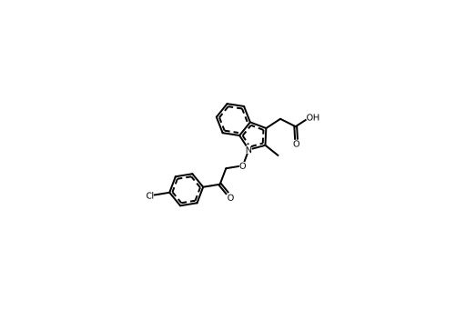 Cc1c(CC(=O)O)c2ccccc2n1OCC(=O)c1ccc(Cl)cc1